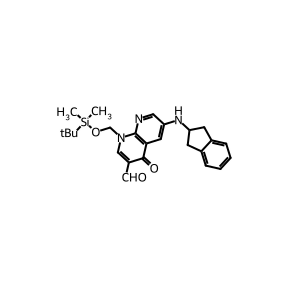 CC(C)(C)[Si](C)(C)OCn1cc(C=O)c(=O)c2cc(NC3Cc4ccccc4C3)cnc21